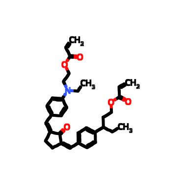 C=CC(=O)OCCC(CC)c1ccc(C=C2CCC(=Cc3ccc(N(CC)CCOC(=O)C=C)cc3)C2=O)cc1